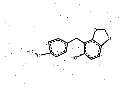 COc1ccc(Cc2c(O)ccc3c2OCO3)cc1